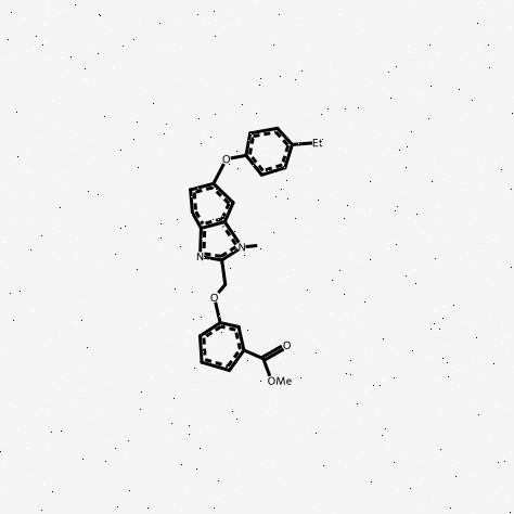 CCc1ccc(Oc2ccc3nc(COc4cccc(C(=O)OC)c4)n(C)c3c2)cc1